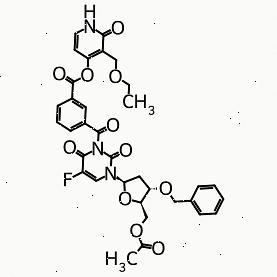 CCOCc1c(OC(=O)c2cccc(C(=O)n3c(=O)c(F)cn([C@H]4C[C@H](OCc5ccccc5)[C@@H](COC(C)=O)O4)c3=O)c2)cc[nH]c1=O